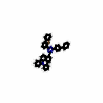 c1c(-c2nc(-c3ccc(-c4ccccc4)cc3)nc(-c3cccc4c3sc3ccccc34)n2)ccc(-c2ccccc2-n2c3c(c4ccccc42)C=CCC3)c#1